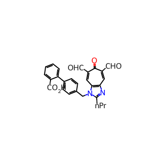 CCCc1nc2cc(C=O)c(=O)c(C=O)cc2n1Cc1ccc(-c2ccccc2C(=O)O)cc1